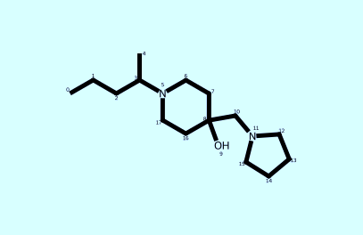 CCCC(C)N1CCC(O)(CN2CCCC2)CC1